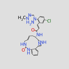 C=N/N=C\N(N)c1ccc(Cl)cc1/C=C/C(=O)N[C@H]1C/C=C/CNC(=O)Nc2ccccc2-c2c[nH]c1n2